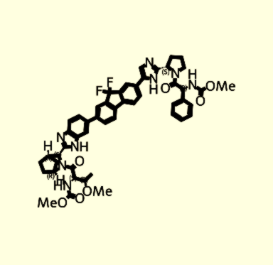 COC(=O)N[C@H](C(=O)N1[C@@H]2CC[C@H](C2)[C@H]1c1nc2ccc(-c3ccc4c(c3)C(F)(F)c3cc(-c5cnc([C@@H]6CCCN6C(=O)[C@H](NC(=O)OC)c6ccccc6)[nH]5)ccc3-4)cc2[nH]1)[C@@H](C)OC